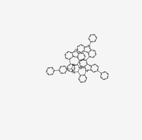 c1ccc(-c2ccc(C3=NC(c4ccccc4-n4c5cc(-c6ccccc6)ccc5c5c(-c6cccc7c6c6ccccc6n7-c6ccccc6)cccc54)NC(c4cccc5oc6cccc(-c7ccccc7)c6c45)=N3)cc2)cc1